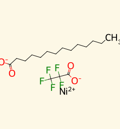 CCCCCCCCCCCCCC(=O)[O-].O=C([O-])C(F)(F)C(F)(F)F.[Ni+2]